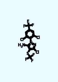 Nc1c(SC(F)(F)F)c(Cl)nn1-c1c(Cl)cc(C(F)(F)F)cc1Cl